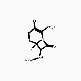 CCCCCNC1C(=O)N2C(C(=O)O)=C(C)CS[C@@H]12